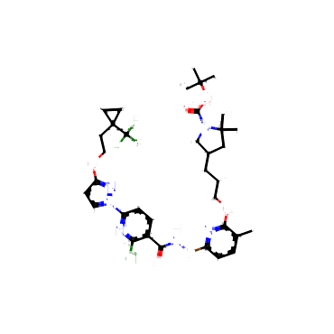 Cc1ccc(SNC(=O)c2ccc(-n3ccc(OCCC4(C(F)(F)F)CC4)n3)nc2Cl)nc1OCCCC1CN(C(=O)OC(C)(C)C)C(C)(C)C1